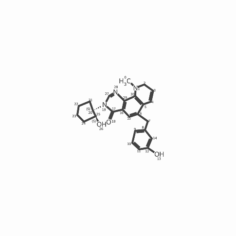 CN1CC=Cc2c(Cc3cccc(O)c3)cc3c(=O)n([C@H]4CCCC[C@@H]4O)cnc3c21